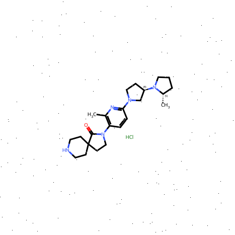 Cc1nc(N2CC[C@@H](N3CCC[C@@H]3C)C2)ccc1N1CCC2(CCNCC2)C1=O.Cl